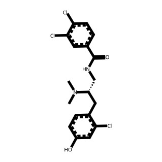 CN(C)[C@H](CNC(=O)c1ccc(Cl)c(Cl)c1)Cc1ccc(O)cc1Cl